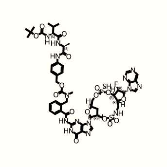 CC(C)[C@H](NC(=O)OC(C)(C)C)C(=O)N[C@@H](C)C(=O)Nc1ccc(COC(=O)N(C)Cc2ccccc2C(=O)Nc2nc3c(ncn3[C@@H]3O[C@@H]4CO[P@](=O)(S)O[C@H]5[C@@H](F)[C@H](n6cnc7cncnc76)O[C@@H]5CNS(=O)(=O)O[C@@H]3C4)c(=O)[nH]2)cc1